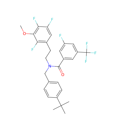 COc1c(F)c(F)cc(CCN(Cc2ccc(C(C)(C)C)cc2)C(=O)c2cc(F)cc(C(F)(F)F)c2)c1F